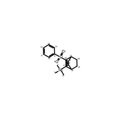 C[Si](C)(C)C1=C(S(=O)(=O)c2ccccc2)C2C=CC1CC2